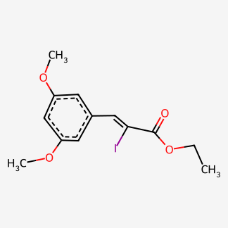 CCOC(=O)C(I)=Cc1cc(OC)cc(OC)c1